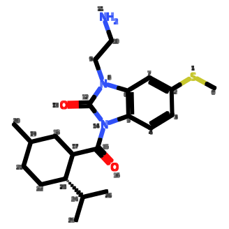 CSc1ccc2c(c1)n(CCN)c(=O)n2C(=O)C1CC(C)CC[C@H]1C(C)C